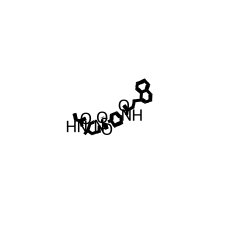 C=CC(=O)NC1(C)CCN(S(=O)(=O)c2ccc(NC(=O)CCc3cccc4ccccc34)cc2)CC1